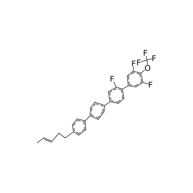 C/C=C/CCc1ccc(-c2ccc(-c3ccc(-c4cc(F)c(OC(F)(F)F)c(F)c4)c(F)c3)cc2)cc1